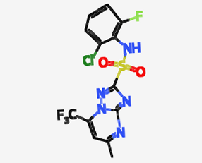 Cc1cc(C(F)(F)F)n2nc(S(=O)(=O)Nc3c(F)cccc3Cl)nc2n1